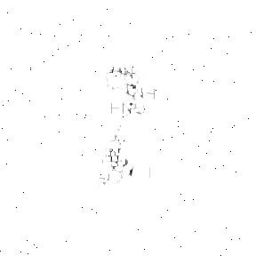 COc1ccc(F)cc1S(=O)(=O)N1CCC(CCCCNC(=O)c2cc3c([nH]2)CCNC32CCCCCCC2)CC1